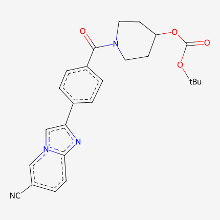 CC(C)(C)OC(=O)OC1CCN(C(=O)c2ccc(-c3cn4cc(C#N)ccc4n3)cc2)CC1